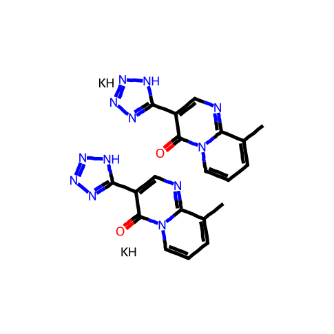 Cc1cccn2c(=O)c(-c3nnn[nH]3)cnc12.Cc1cccn2c(=O)c(-c3nnn[nH]3)cnc12.[KH].[KH]